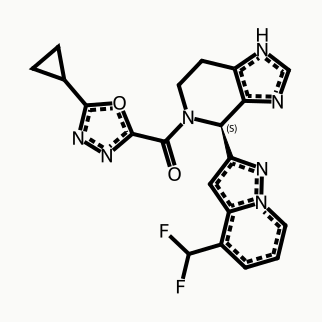 O=C(c1nnc(C2CC2)o1)N1CCc2[nH]cnc2[C@H]1c1cc2c(C(F)F)cccn2n1